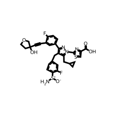 N[S+]([O-])c1ccc(Cc2c(-c3ccc(F)c(C#CC4(O)CCOC4)c3)nn(-c3nc(C(=O)O)cs3)c2CC2CC2)cc1F